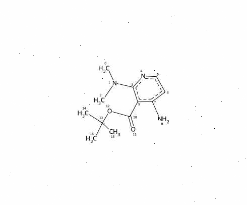 CN(C)c1nccc(N)c1C(=O)OC(C)(C)C